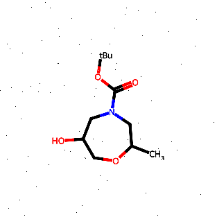 CC1CN(C(=O)OC(C)(C)C)CC(O)CO1